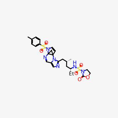 CC[C@H](C[C@@H](C)Cc1ncc2n1C13C=CN(S(=O)(=O)c4ccc(C)cc4)C1(C3)N=C2)NS(=O)(=O)N1CCOC1=O